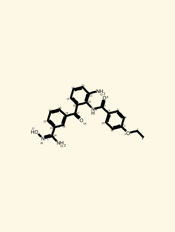 CCOc1ccc(C(=O)Nc2c(N)cccc2C(=O)c2cccc(/C(N)=N\O)c2)cc1